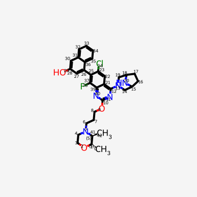 C[C@@H]1OCCN(CCCOc2nc(N3CC4CCC(C3)N4)c3cc(Cl)c(-c4cc(O)cc5ccccc45)c(F)c3n2)[C@H]1C